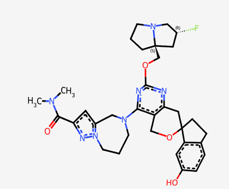 CN(C)C(=O)c1cc2n(n1)CCCN(c1nc(OC[C@@]34CCCN3C[C@H](F)C4)nc3c1COC1(CCc4ccc(O)cc41)C3)C2